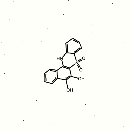 O=S1(=O)c2ccccc2Nc2c1c(O)c(O)c1ccccc21